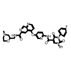 CC(C)n1cc(C(=O)Nc2ccc(Oc3ccnc4cnc(C(=O)NCC5CN(C)CCO5)cc34)cn2)c(=O)n(-c2ccc(F)cc2)c1=O